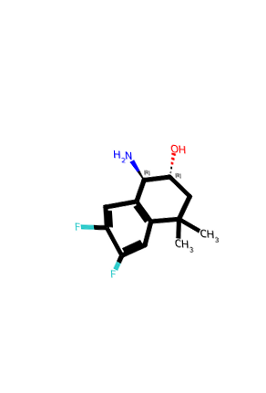 CC1(C)C[C@@H](O)[C@H](N)c2cc(F)c(F)cc21